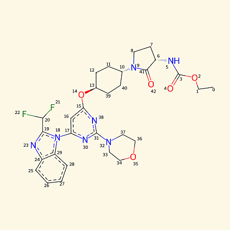 CCOC(=O)N[C@H]1CCN([C@H]2CC[C@H](Oc3cc(-n4c(C(F)F)nc5ccccc54)nc(N4CCOCC4)n3)CC2)C1=O